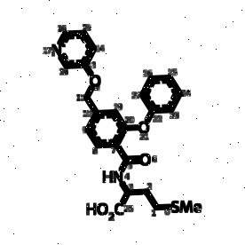 CSCCC(NC(=O)c1ccc(COc2cccnc2)cc1Oc1ccccc1)C(=O)O